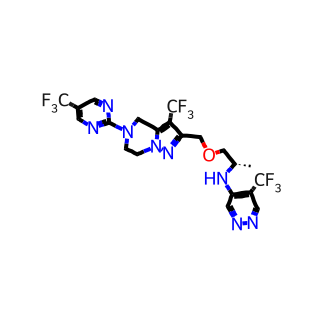 C[C@@H](COCc1nn2c(c1C(F)(F)F)CN(c1ncc(C(F)(F)F)cn1)CC2)Nc1cnncc1C(F)(F)F